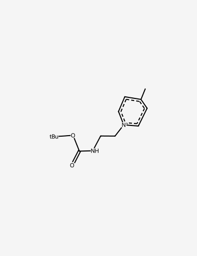 Cc1cc[n+](CCNC(=O)OC(C)(C)C)cc1